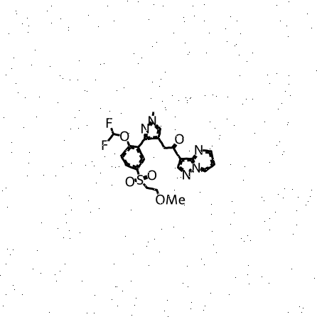 COCCS(=O)(=O)c1ccc(OC(F)F)c(-c2nn(C)cc2CC(=O)c2cnn3cccnc23)c1